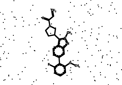 C=CC(=O)N1CCC(c2c3ccc(-c4c(F)cccc4OC)cc3nn2C)C1